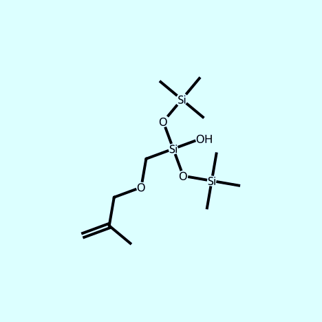 C=C(C)COC[Si](O)(O[Si](C)(C)C)O[Si](C)(C)C